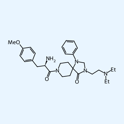 CCN(CC)CCN1CN(c2ccccc2)C2(CCN(C(=O)[C@H](N)Cc3ccc(OC)cc3)CC2)C1=O